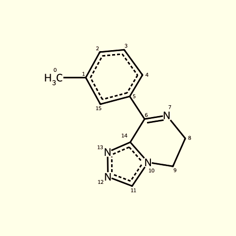 Cc1cccc(C2=NCCn3cnnc32)c1